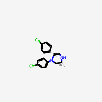 C[C@@H]1CN(c2ccc(Cl)cc2)[C@H](c2ccc(Cl)cc2)CN1